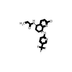 C=CC(=O)N[C@H]1CC[C@@H](Oc2ccc(C(F)(F)F)cn2)c2nc(Cl)ccc21